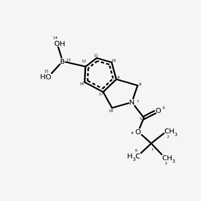 CC(C)(C)OC(=O)N1Cc2ccc(B(O)O)cc2C1